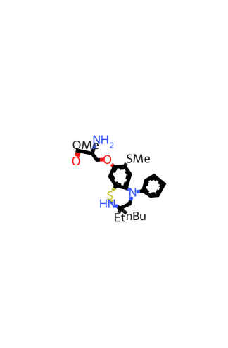 CCCCC1(CC)CN(c2ccccc2)c2cc(SC)c(OCC(N)C(=O)OC)cc2SN1